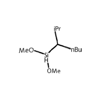 CCCCC(C(C)C)[SiH](OC)OC